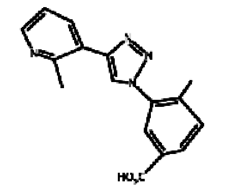 Cc1ccc(C(=O)O)cc1-n1cc(-c2cccnc2C)nn1